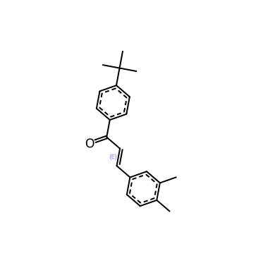 Cc1ccc(/C=C/C(=O)c2ccc(C(C)(C)C)cc2)cc1C